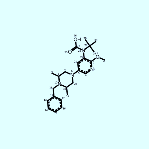 COc1ncc(N2CC(C)N(Cc3ccccc3)C(C)C2)cc1N(C(=O)O)C(C)(C)C